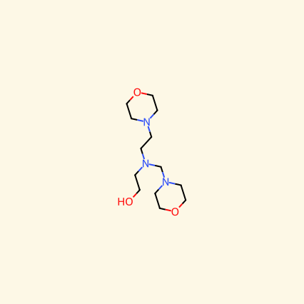 OCCN(CCN1CCOCC1)CN1CCOCC1